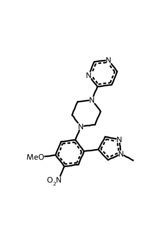 COc1cc(N2CCN(c3ccncn3)CC2)c(-c2cnn(C)c2)cc1[N+](=O)[O-]